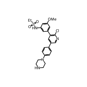 CCS(=O)(=O)Nc1cc(OC)cc(-c2cc(-c3ccc(N4CCNCC4)cc3)cnc2Cl)c1